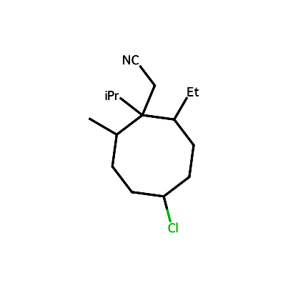 CCC1CCC(Cl)CCC(C)C1(CC#N)C(C)C